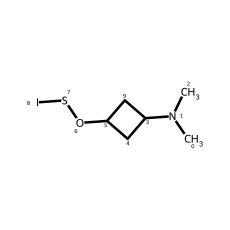 CN(C)C1CC(OSI)C1